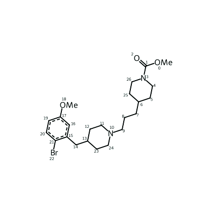 COC(=O)N1CCC(CCCN2CCC(Cc3cc(OC)ccc3Br)CC2)CC1